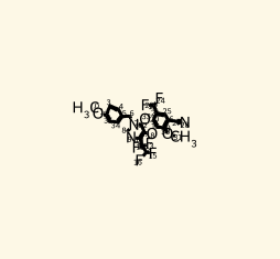 COc1ccc(Cn2cnc(C(F)(F)C(F)F)c(Oc3cc(C(F)F)cc(C#N)c3OC)c2=O)cc1